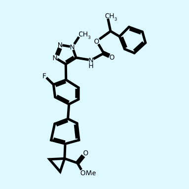 COC(=O)C1(c2ccc(-c3ccc(-c4nnn(C)c4NC(=O)OC(C)c4ccccc4)c(F)c3)cc2)CC1